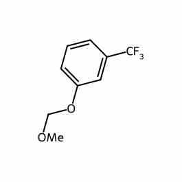 COCOc1cccc(C(F)(F)F)c1